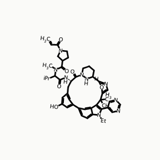 C=CC(=O)N1CCC(C(=O)N(C)C(C(=O)N[C@H]2Cc3cc(O)cc(c3)-c3ccc4c(c3)c(c(-c3cncnc3)n4CC)C(C)(C)c3cnc(o3)[C@@H]3CCCN(N3)C2=O)C(C)C)C1